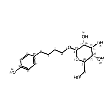 OC[C@H]1O[C@@H](OCCCCc2ccc(O)cc2)[C@H](O)[C@@H](O)[C@@H]1O